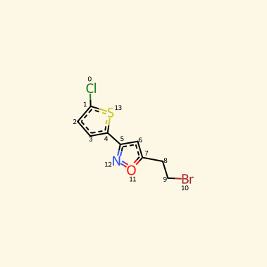 Clc1ccc(-c2cc(CCBr)on2)s1